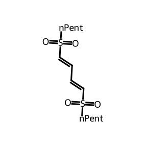 CCCCCS(=O)(=O)C=CC=CS(=O)(=O)CCCCC